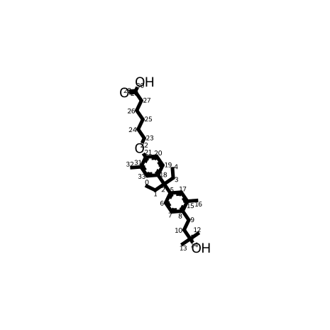 CCC(CC)(c1ccc(CCC(C)(C)O)c(C)c1)c1ccc(OCCCCCC(=O)O)c(C)c1